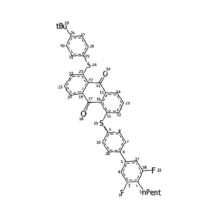 CCCCCc1c(F)cc(-c2ccc(Sc3cccc4c3C(=O)c3cccc(Sc5ccc(C(C)(C)C)cc5)c3C4=O)cc2)cc1F